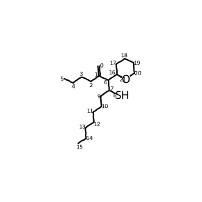 C=C(CCCC)C(C(S)CCCCCCC)C1CCCCO1